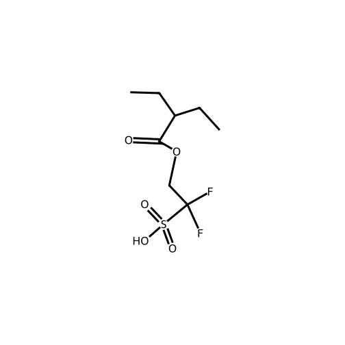 CCC(CC)C(=O)OCC(F)(F)S(=O)(=O)O